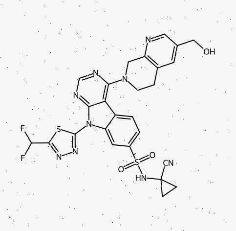 N#CC1(NS(=O)(=O)c2ccc3c4c(N5CCc6cc(CO)cnc6C5)ncnc4n(-c4nnc(C(F)F)s4)c3c2)CC1